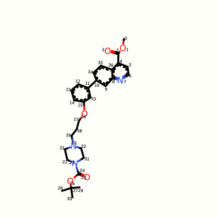 COC(=O)c1ccnc2cc(-c3cccc(OCCCN4CCN(C(=O)OC(C)(C)C)CC4)c3)ccc12